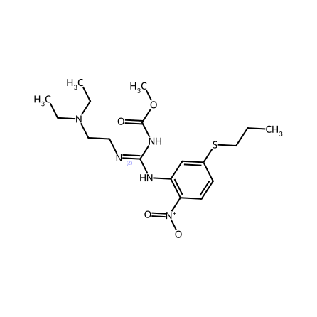 CCCSc1ccc([N+](=O)[O-])c(N/C(=N/CCN(CC)CC)NC(=O)OC)c1